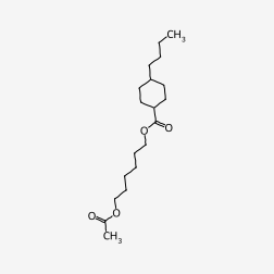 CCCCC1CCC(C(=O)OCCCCCCOC(C)=O)CC1